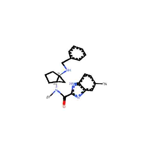 CCN(C(=O)c1nc2cc(C#N)ccc2[nH]1)[C@]12CCC[C@]1(NCc1ccccc1)C2